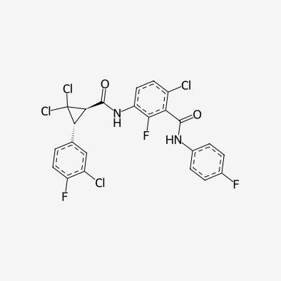 O=C(Nc1ccc(F)cc1)c1c(Cl)ccc(NC(=O)[C@H]2[C@H](c3ccc(F)c(Cl)c3)C2(Cl)Cl)c1F